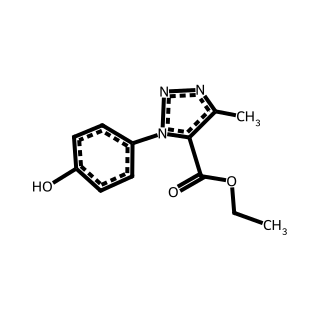 CCOC(=O)c1c(C)nnn1-c1ccc(O)cc1